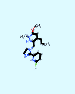 CCCC1=C(Cn2ccnc2-c2cccc(F)n2)NN(C)C(OC)=C1